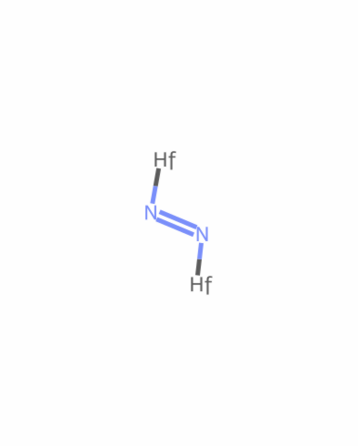 [Hf][N]=[N][Hf]